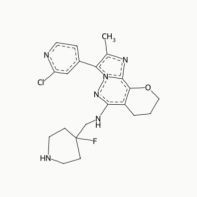 Cc1nc2c3c(c(NCC4(F)CCNCC4)nn2c1-c1ccnc(Cl)c1)CCCO3